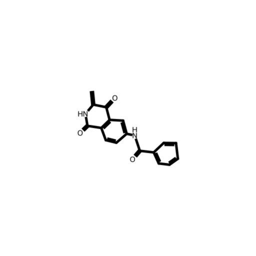 C=C1NC(=O)c2ccc(NC(=O)c3ccccc3)cc2C1=O